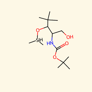 C[SiH](C)OC(C(CO)NC(=O)OC(C)(C)C)C(C)(C)C